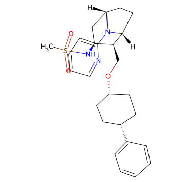 CS(=O)(=O)N[C@H]1C[C@@H]2CC[C@H]([C@H]1CO[C@H]1CC[C@@H](c3ccccc3)CC1)N2c1ccccn1